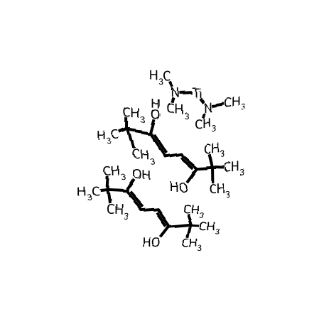 CC(C)(C)C(O)=CC=C(O)C(C)(C)C.CC(C)(C)C(O)=CC=C(O)C(C)(C)C.C[N](C)[Ti][N](C)C